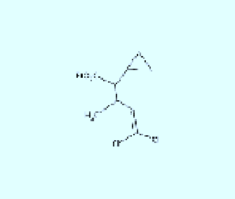 CCOC(=O)C(C(C)C=C(Cl)Cl)C1CC1